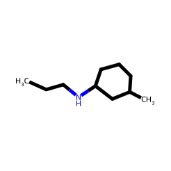 CCCNC1CCCC(C)C1